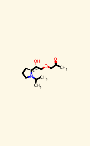 CC(=O)COC[C@@H](O)[C@@H]1CCCN1C(C)C